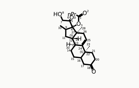 CCCC(=O)O[C@]1(C(=O)CO)C(C)C[C@H]2[C@@H]3CCC4CC(=O)CC[C@]4(C)C3=CC[C@@]21C